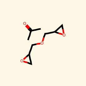 C(OCC1CO1)C1CO1.CC(C)=O